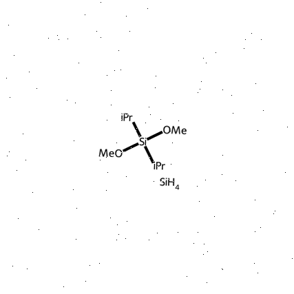 CO[Si](OC)(C(C)C)C(C)C.[SiH4]